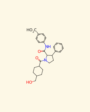 O=C(O)c1ccc(NC(=O)C2C(c3ccccc3)CCN2C(=O)C2CCC(CO)CC2)cc1